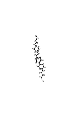 CCCCCC1CCC(CCc2ncc(C3CCC(CCCCC)CC3)cn2)CC1